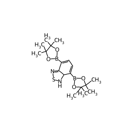 CC1(C)OB(C2=CC=C(B3OC(C)(C)C(C)(C)O3)C3NSN=C23)OC1(C)C